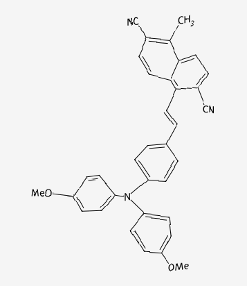 COc1ccc(N(c2ccc(C=Cc3c(C#N)ccc4c(C)c(C#N)ccc34)cc2)c2ccc(OC)cc2)cc1